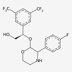 OC[C@H](OC1OCCNC1c1ccc(F)cc1)c1cc(C(F)(F)F)cc(C(F)(F)F)c1